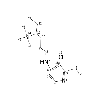 CCc1nccc(NCCCC(CC)[Si](C)(C)C)c1Cl